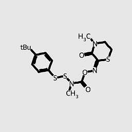 CN1CCSC(=NOC(=O)N(C)SSc2ccc(C(C)(C)C)cc2)C1=O